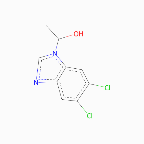 CC(O)n1cnc2cc(Cl)c(Cl)cc21